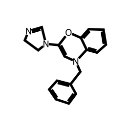 C1=NCCN1C1=CN(Cc2ccccc2)c2ccccc2O1